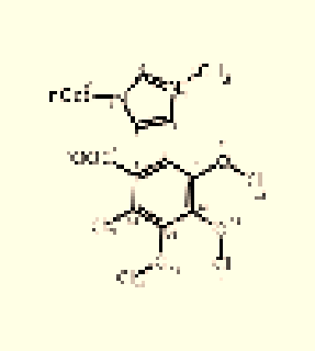 CCCCCCCCn1cc[n+](C)c1.O=C([O-])c1cc(OCl)c(OCl)c(OCl)c1Cl